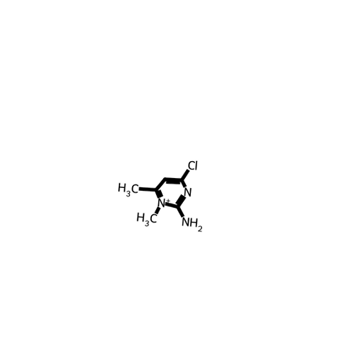 Cc1cc(Cl)nc(N)[n+]1C